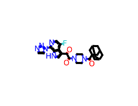 O=C(C(=O)N1CCN(C(=O)C23CC4CC(CC(C4)C2)C3)CC1)c1c[nH]c2c(-n3ccnn3)ncc(F)c12